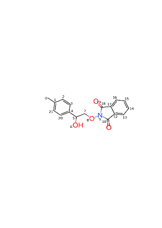 Cc1ccc(C(O)CON2C(=O)c3ccccc3C2=O)cc1